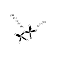 O=P([O-])([O-])OP(=O)([O-])[O-].[KH].[KH].[KH].[KH].[Na+].[Na+].[Na+].[Na+]